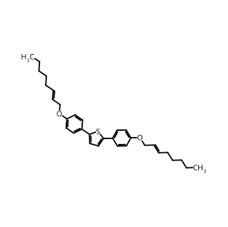 CCCCCC=CCOc1ccc(-c2ccc(-c3ccc(OCC=CCCCCC)cc3)s2)cc1